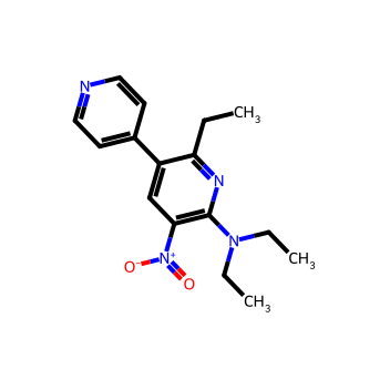 CCc1nc(N(CC)CC)c([N+](=O)[O-])cc1-c1ccncc1